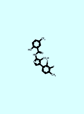 Cc1ccc(-c2csc(NC(=O)c3cc(C(F)(F)F)ccc3O)c2C(=O)O)c(F)c1F